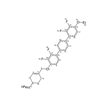 CCCCCC1CC=C(COc2ccc(-c3ccc(-c4ccc(OCC)c(F)c4F)cc3)c(F)c2F)CC1